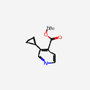 CC(C)(C)OC(=O)c1ccncc1C1CC1